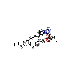 CCCCCCCCc1cccc(N2C=C(CC(C)OC(=O)CCCC)N=CC2)c1